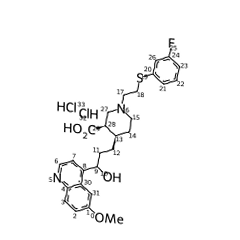 COc1ccc2nccc(C(O)CC[C@@H]3CCN(CCSc4cccc(F)c4)C[C@@H]3C(=O)O)c2c1.Cl.Cl